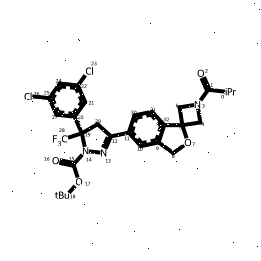 CC(C)C(=O)N1CC2(C1)OCc1cc(C3=NN(C(=O)OC(C)(C)C)C(c4cc(Cl)cc(Cl)c4)(C(F)(F)F)C3)ccc12